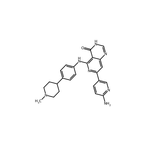 CN1CCC(c2ccc(Nc3nc(-c4ccc(N)nc4)cc4nc[nH]c(=O)c34)cc2)CC1